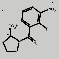 O=C(O)[C@@H]1CCCN1C(=O)c1cccc([N+](=O)[O-])c1F